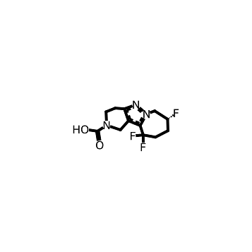 O=C(O)N1CCc2nn3c(c2C1)C(F)(F)CC[C@@H](F)C3